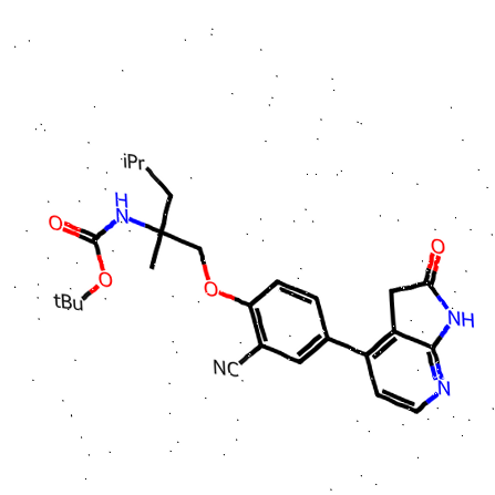 CC(C)CC(C)(COc1ccc(-c2ccnc3c2CC(=O)N3)cc1C#N)NC(=O)OC(C)(C)C